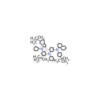 CC(C)(C)c1ccc(N(c2ccc3c(c2)N(c2ccccc2)c2cc(C(C)(C)C)cc4c2B3c2cc3ccc(C(C)(C)C)cn3c2N4c2ccccc2)c2cccc3ccccc23)cc1